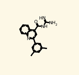 Cc1cc(C)cc(-c2cc(C(=O)NC(=N)N)c3ccccc3n2)c1